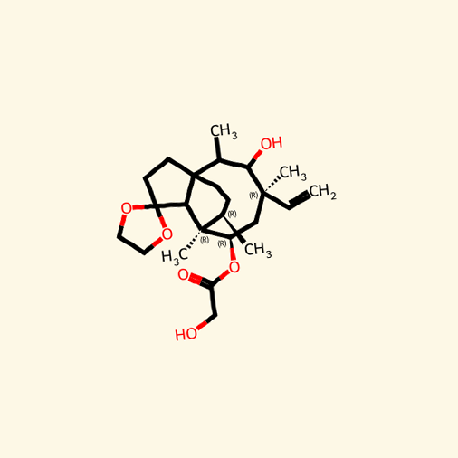 C=C[C@@]1(C)C[C@@H](OC(=O)CO)[C@@]2(C)C3C4(CCC3(CC[C@H]2C)C(C)C1O)OCCO4